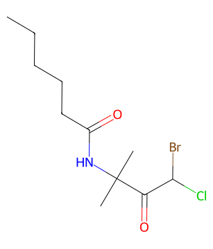 CCCCCC(=O)NC(C)(C)C(=O)C(Cl)Br